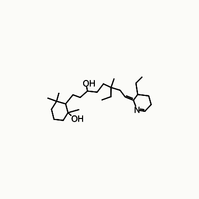 CCC1CCC=N/C1=C/CC(C)(CC)CCC(O)CCC1C(C)(C)CCCC1(C)O